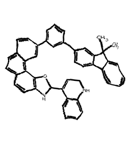 CC1(C)c2ccccc2-c2ccc(-c3cccc(-c4ccc5ccc6ccc7c(c6c5c4)OC(C4=CCNc5ccccc54)N7)c3)cc21